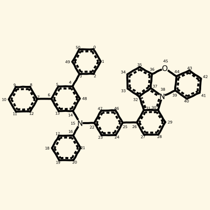 c1ccc(-c2cc(-c3ccccc3)cc(N(c3ccccc3)c3ccc(-c4cccc5c4c4cccc6c4n5-c4ccccc4O6)cc3)c2)cc1